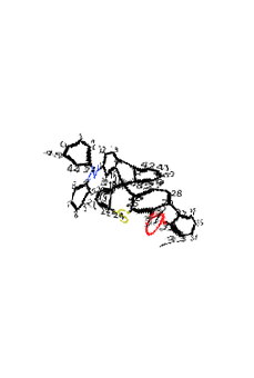 c1ccc(N(c2ccccc2)c2ccc3c(c2)C2(c4ccccc4Sc4c2ccc2c4oc4ccccc42)c2ccccc2-3)cc1